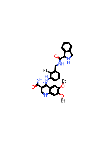 CCOc1cc2ncc(C(N)=O)c(Nc3cccc(CNC(=O)C4NCc5ccccc54)c3CC)c2cc1OCC